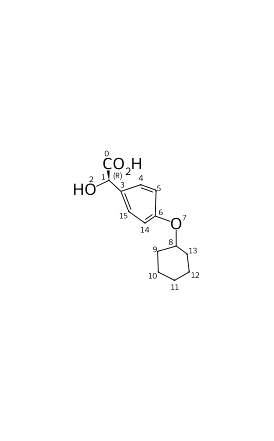 O=C(O)[C@H](O)c1ccc(OC2CCCCC2)cc1